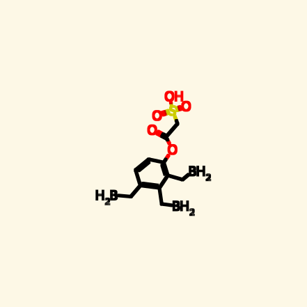 BCc1ccc(OC(=O)CS(=O)(=O)O)c(CB)c1CB